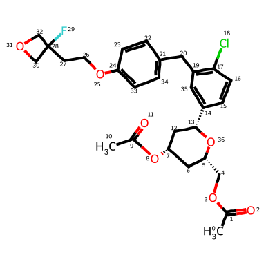 CC(=O)OC[C@@H]1C[C@H](OC(C)=O)C[C@H](c2ccc(Cl)c(Cc3ccc(OCCC4(F)COC4)cc3)c2)O1